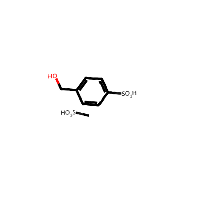 CS(=O)(=O)O.O=S(=O)(O)c1ccc(CO)cc1